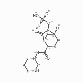 O=C(NN1CCCNC1)[C@@H]1CC[C@@H]2CN1C(=O)N2OS(=O)(=O)O